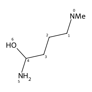 CNCCCC(N)O